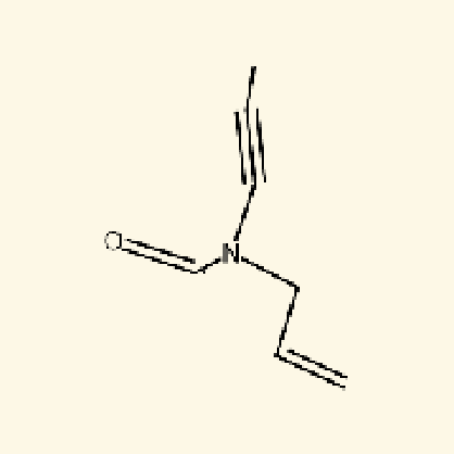 C=CCN([C]=O)C#CC